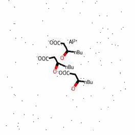 CCCCC(=O)CC(=O)[O-].CCCCC(=O)CC(=O)[O-].CCCCC(=O)CC(=O)[O-].[Al+3]